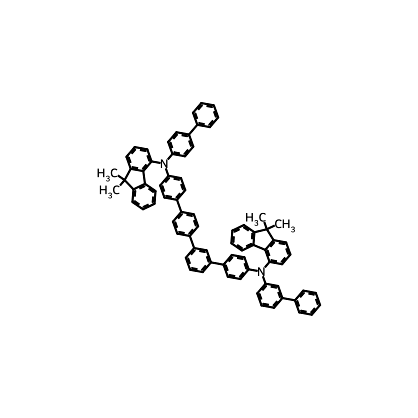 CC1(C)c2ccccc2-c2c(N(c3ccc(-c4ccccc4)cc3)c3ccc(-c4ccc(-c5cccc(-c6ccc(N(c7cccc(-c8ccccc8)c7)c7cccc8c7-c7ccccc7C8(C)C)cc6)c5)cc4)cc3)cccc21